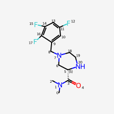 CN(C)C(=O)[C@@H]1CN(Cc2cc(F)cc(F)c2F)CCN1